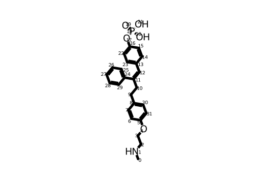 CNCCOc1ccc(CC/C(=C/c2ccc(OP(=O)(O)O)cc2)c2ccccc2)cc1